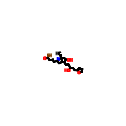 C#CC12CC(O)C(/C=C/C(O)CCc3ccco3)C1CC(CCCC(=O)S)=N2